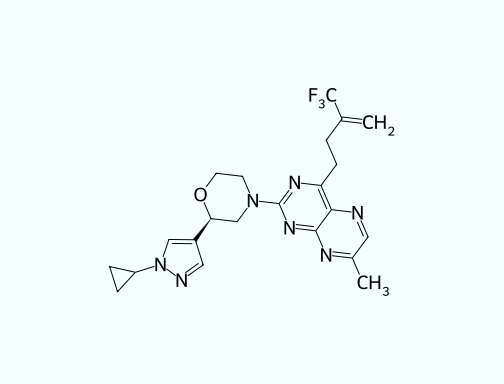 C=C(CCc1nc(N2CCO[C@H](c3cnn(C4CC4)c3)C2)nc2nc(C)cnc12)C(F)(F)F